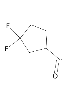 O=[C]C1CCC(F)(F)C1